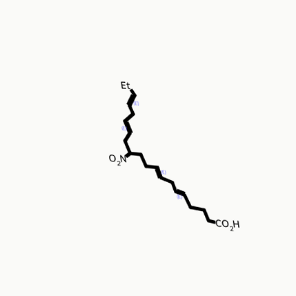 CC/C=C/C/C=C/CC(CC/C=C/C/C=C/CCCC(=O)O)[N+](=O)[O-]